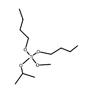 CCCC[O][Ti]([O]C)([O]CCCC)[O]C(C)C